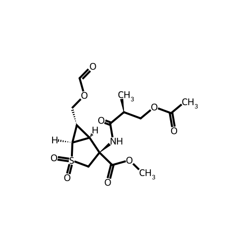 COC(=O)[C@]1(NC(=O)[C@@H](C)COC(C)=O)CS(=O)(=O)[C@H]2[C@H](COC=O)[C@H]21